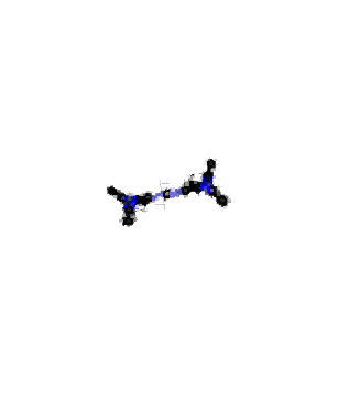 CC1(C)c2cc(/C=C/c3ccc(/C=C/c4ccc5c(c4)C(C)(C)c4cc(N(c6ccc(-c7ccccc7)cc6)c6ccc(-c7ccccc7)cc6)ccc4-5)cc3)ccc2-c2ccc(N(c3ccc(-c4ccccc4)cc3)c3ccc(-c4ccccc4)cc3)cc21